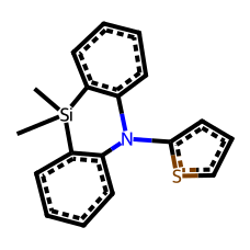 C[Si]1(C)c2ccccc2N(c2cccs2)c2ccccc21